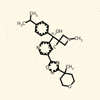 CC(C)c1ccc([C@](O)(c2cncc(-c3nc(C4(C)CCOCC4)no3)c2)C2(C)CN(C)C2)cc1